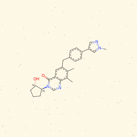 Cc1c(Cc2ccc(-c3cnn(C)c3)cc2)cc2c(=O)n([C@H]3CCC[C@@H]3O)cnc2c1C